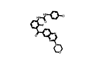 O=C(Nc1ccc(Cl)cc1)Nc1cccc(C(=O)c2ccc3ncc(N4CCOCC4)nc3c2)c1F